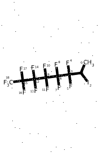 CC(I)C(F)(F)C(F)(F)C(F)(F)C(F)(F)C(F)(F)C(F)(F)F